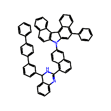 c1ccc(-c2ccc(-c3cccc(C4NC(c5cccc6cc(-n7c8ccc9ccccc9c8c8c9ccccc9c(-c9ccccc9)cc87)ccc56)=Nc5ccccc54)c3)cc2)cc1